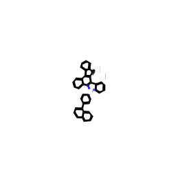 CC1(C)c2ccccc2-c2c1c1c3ccccc3n(-c3ccc(-c4cccc5ccccc45)cc3)c1c1ccccc21